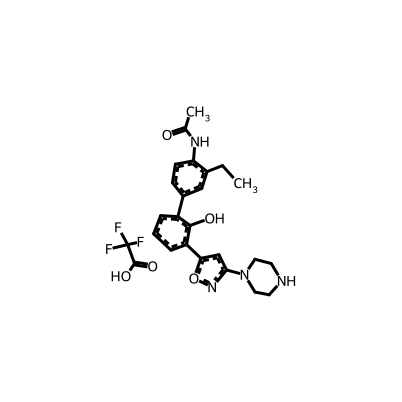 CCc1cc(-c2cccc(-c3cc(N4CCNCC4)no3)c2O)ccc1NC(C)=O.O=C(O)C(F)(F)F